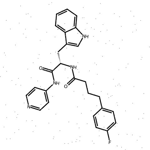 O=C(CCCc1ccc(F)cc1)N[C@@H](Cc1c[nH]c2ccccc12)C(=O)Nc1ccncc1